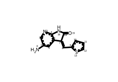 Nc1cnc2c(c1)C(=Cc1cccs1)C(=O)N2